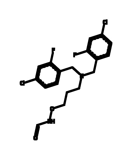 O=CNOCCCN(Cc1ccc(Cl)cc1F)Cc1ccc(Cl)cc1F